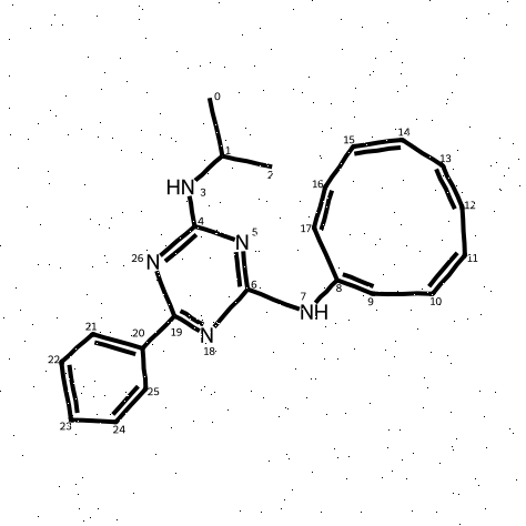 CC(C)Nc1nc(Nc2ccccccccc2)nc(-c2ccccc2)n1